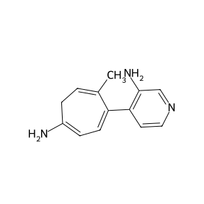 CC1=CCC(N)=CC=C1c1ccncc1N